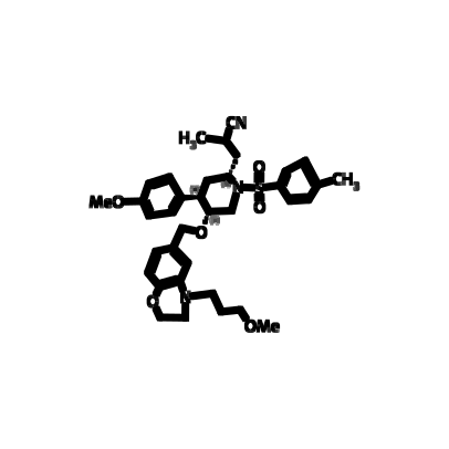 COCCCN1CCOc2ccc(CO[C@H]3CN(S(=O)(=O)c4ccc(C)cc4)[C@@H](CC(C)C#N)C[C@@H]3c3ccc(OC)cc3)cc21